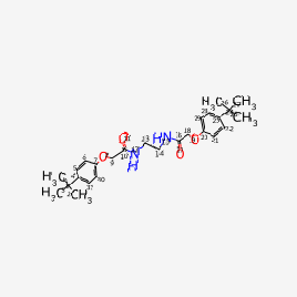 CC(C)(C)c1ccc(OCC(=O)NCCNC(=O)COc2ccc(C(C)(C)C)cc2)cc1